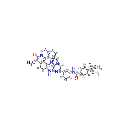 CC(C(=O)N1CCN2CCCCC2C1)c1ccc(Nc2nc(-c3cccc(NC(=O)c4ccc(C(C)(C)C)cc4)c3)cn3ccnc23)cc1